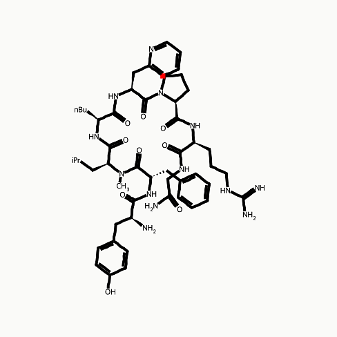 CCCC[C@H](NC(=O)[C@H](CC(C)C)N(C)C(=O)[C@H](Cc1ccccc1)NC(=O)[C@@H](N)Cc1ccc(O)cc1)C(=O)N[C@@H](Cc1ccccn1)C(=O)N1CCC[C@H]1C(=O)N[C@@H](CCCNC(=N)N)C(=O)NCC(N)=O